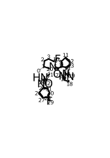 C[C@@H]1CCCN(C(=O)c2c(F)cccc2-n2nccn2)[C@@H]1CNc1nc2ccc(F)cc2o1